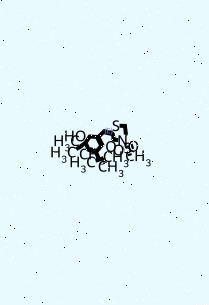 CC(C)(C)C1=CC(O)(C(C)(C)C)CC(/C=C2/SCCN(S(C)(=O)=O)C2=O)=C1